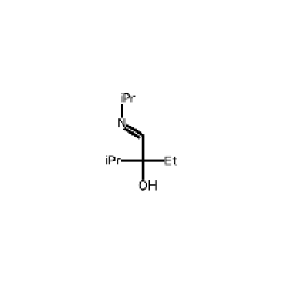 CCC(O)(C=NC(C)C)C(C)C